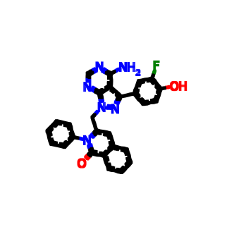 Nc1ncnc2c1c(-c1ccc(O)c(F)c1)nn2Cc1cc2ccccc2c(=O)n1-c1ccccc1